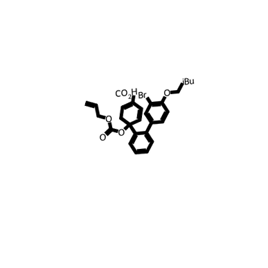 C=CCOC(=O)OC1(c2ccccc2-c2ccc(OCC(C)CC)c(Br)c2)C=CC(C(=O)O)=CC1